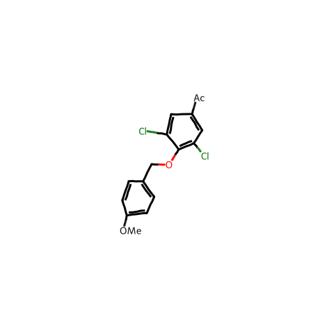 COc1ccc(COc2c(Cl)cc(C(C)=O)cc2Cl)cc1